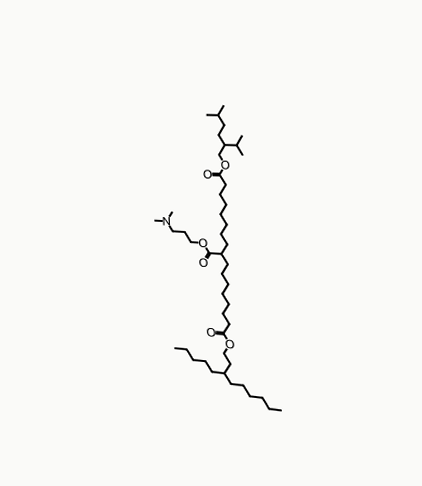 CCCCCCC(CCCCC)CCOC(=O)CCCCCCCC(CCCCCCCC(=O)OCC(CCC(C)C)C(C)C)C(=O)OCCCN(C)C